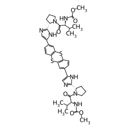 COC(=O)N[C@H](C(=O)N1CCC[C@H]1c1ncc(-c2ccc3c(c2)Sc2ccc(-c4cnc([C@@H]5CCCN5C(=O)[C@@H](NC(=O)OC)C(C)C)[nH]4)cc2S3)[nH]1)C(C)C